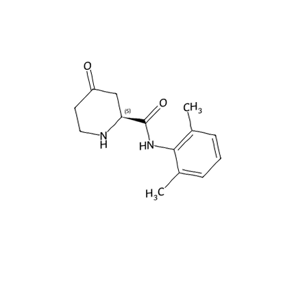 Cc1cccc(C)c1NC(=O)[C@@H]1CC(=O)CCN1